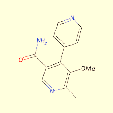 COc1c(C)ncc(C(N)=O)c1-c1ccncc1